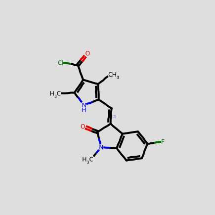 Cc1[nH]c(/C=C2\C(=O)N(C)c3ccc(F)cc32)c(C)c1C(=O)Cl